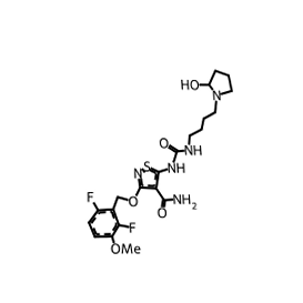 COc1ccc(F)c(COc2nsc(NC(=O)NCCCCN3CCCC3O)c2C(N)=O)c1F